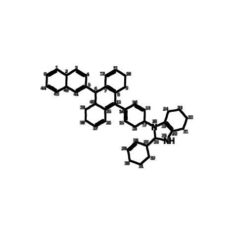 C1=CC2C=CC(C3C4=C(CCC=C4)C(C4=CCC(N5C6=C(CCCC6)NC5C5C=CCCC5)C=C4)=C4C=CCCC43)=CC2C=C1